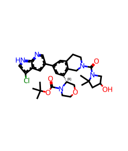 CC(C)(C)OC(=O)N1CCOC[C@H]1c1cc(-c2cnc3[nH]cc(Cl)c3c2)cc2c1CN(C(=O)N1CC(O)CC1(C)C)CC2